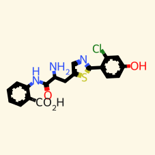 NC(Cc1cnc(-c2ccc(O)cc2Cl)s1)C(=O)Nc1ccccc1C(=O)O